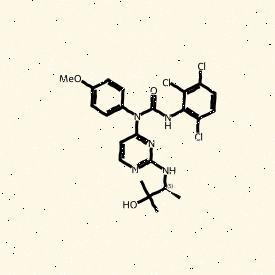 COc1ccc(N(C(=O)Nc2c(Cl)ccc(Cl)c2Cl)c2ccnc(N[C@@H](C)C(C)(C)O)n2)cc1